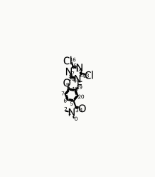 CN(C)C(=O)c1ccc(Oc2nc(Cl)nc(Cl)n2)c(F)c1